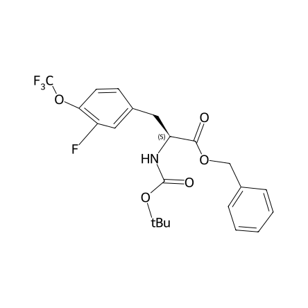 CC(C)(C)OC(=O)N[C@@H](Cc1ccc(OC(F)(F)F)c(F)c1)C(=O)OCc1ccccc1